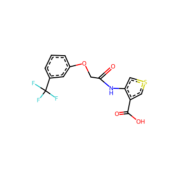 O=C(COc1cccc(C(F)(F)F)c1)Nc1cscc1C(=O)O